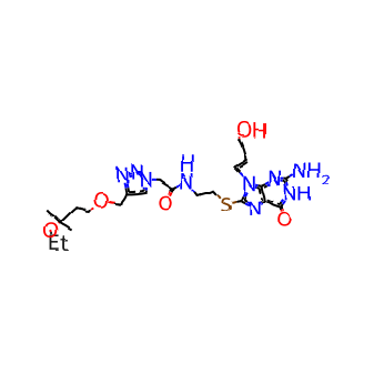 CCOC(C)(C)CCOCc1cn(CC(=O)NCCSc2nc3c(=O)[nH]c(N)nc3n2C=CCO)nn1